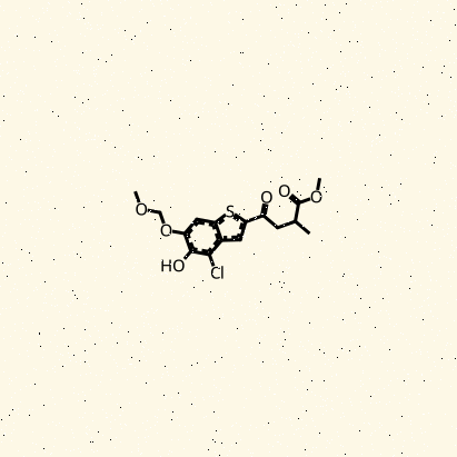 COCOc1cc2sc(C(=O)CC(C)C(=O)OC)cc2c(Cl)c1O